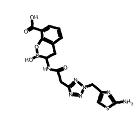 Nc1nc(Cn2nnc(CC(=O)NC3Cc4cccc(C(=O)O)c4OB3O)n2)cs1